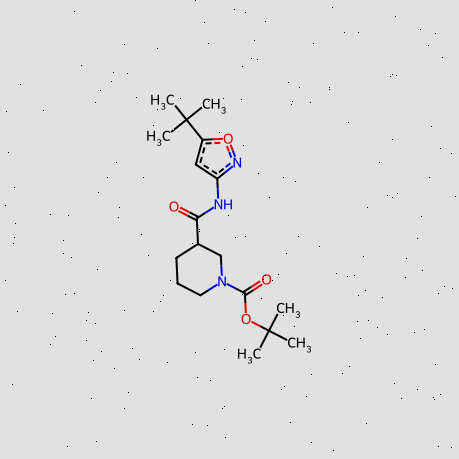 CC(C)(C)OC(=O)N1CCCC(C(=O)Nc2cc(C(C)(C)C)on2)C1